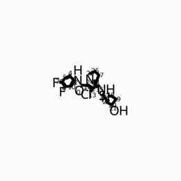 O=C(Nc1ccc(F)c(F)c1)c1c(Cl)c(NSN2CCC(O)C2)c2n1CCC2